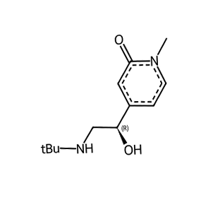 Cn1ccc([C@@H](O)CNC(C)(C)C)cc1=O